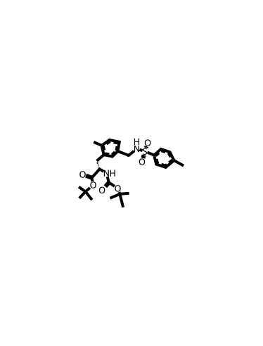 Cc1ccc(S(=O)(=O)NCc2ccc(C)c(C[C@H](NC(=O)OC(C)(C)C)C(=O)OC(C)(C)C)c2)cc1